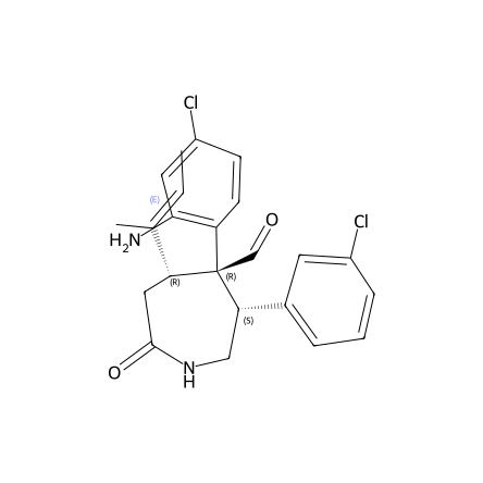 C/C=C(\C)[C@H]1CC(=O)NC[C@@H](c2cccc(Cl)c2)[C@@]1(C=O)c1ccc(Cl)cc1N